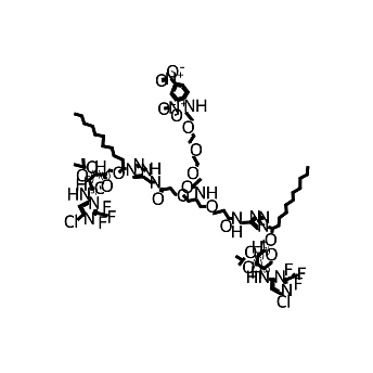 CCCCCCCCCCC(OC[C@H]1OC[C@H](Nc2cc(Cl)nc(C(F)(F)F)n2)[C@H]2OC(C)(C)O[C@H]21)n1cc(CNC(=O)CCOCC(COCCC(=O)NCc2cn(C(CCCCCCCCCC)OC[C@H]3OC[C@H](Nc4cc(Cl)nc(C(F)(F)F)n4)[C@H]4OC(C)(C)O[C@H]43)nn2)NC(=O)COCCOCCOCCNc2ccc([N+](=O)[O-])cc2[N+](=O)[O-])nn1